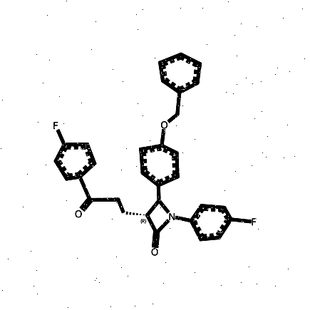 O=C(CC[C@H]1C(=O)N(c2ccc(F)cc2)C1c1ccc(OCc2ccccc2)cc1)c1ccc(F)cc1